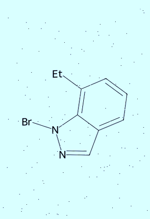 CCc1cccc2cnn(Br)c12